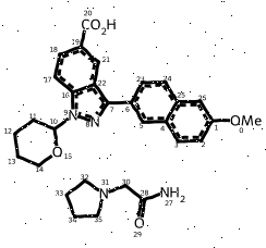 COc1ccc2cc(-c3nn(C4CCCCO4)c4ccc(C(=O)O)cc34)ccc2c1.NC(=O)CN1CCCC1